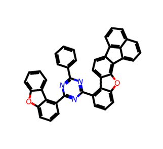 c1ccc(-c2nc(-c3cccc4oc5ccccc5c34)nc(-c3cccc4oc5c6c(ccc5c34)-c3cccc4cccc-6c34)n2)cc1